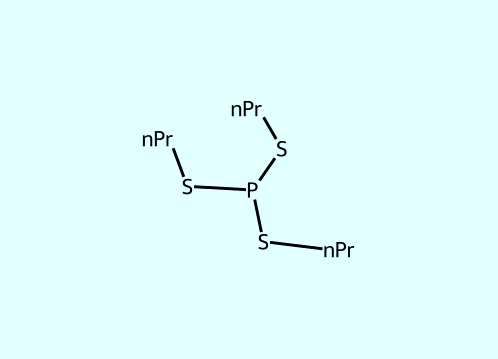 CCCSP(SCCC)SCCC